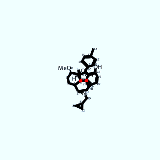 CO[C@]12CCC3(CC1(C)[C@H](O)c1ccc(C)cc1)C1Cc4ccc(O)c5c4[C@@]3(CCN1CC1CC1)[C@@H]2O5